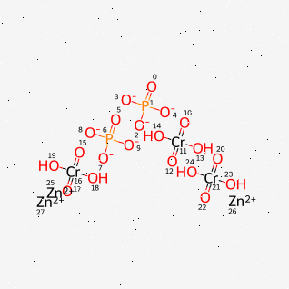 O=P([O-])([O-])[O-].O=P([O-])([O-])[O-].[O]=[Cr](=[O])([OH])[OH].[O]=[Cr](=[O])([OH])[OH].[O]=[Cr](=[O])([OH])[OH].[Zn+2].[Zn+2].[Zn+2]